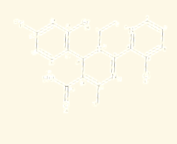 CCN1C(c2ncccc2Cl)=NC(C)=C(C(=O)O)C1c1ccc(F)cc1Br